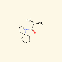 C=C(C)C(=O)NC1(CC)CCCC1